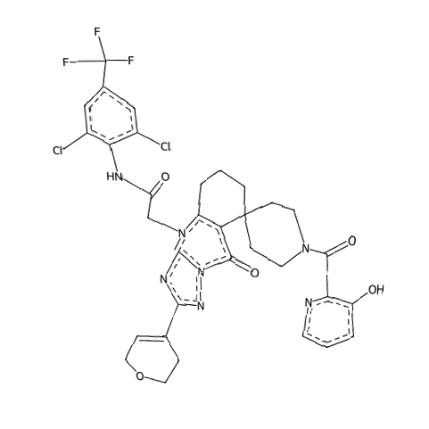 O=C(Cn1c2c(c(=O)n3nc(C4=CCOCC4)nc13)C1(CCC2)CCN(C(=O)c2ncccc2O)CC1)Nc1c(Cl)cc(C(F)(F)F)cc1Cl